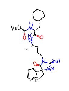 COC(=O)N[C@@H](CC1CCCCC1)C(=O)N[C@@H](C)CCCN1C(=N)N[C@](CC(C)C)(c2ccccc2)C1=O